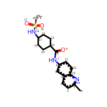 Cc1ccc2cc(NC(=O)C3CCC(NS(=O)(=O)C(C)C)CC3)ccc2n1